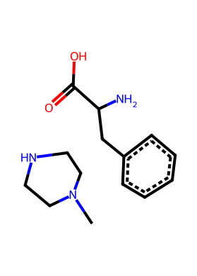 CN1CCNCC1.NC(Cc1ccccc1)C(=O)O